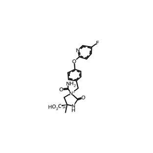 C[C@]1(C(=O)O)C[N+](Cc2ccc(Oc3ccc(F)cn3)cc2)(C(N)=O)C(=O)N1